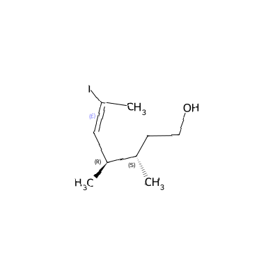 C/C(I)=C\[C@H](C)[C@@H](C)CCO